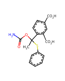 CC(OC(N)=O)(Sc1ccccc1)c1ccc(C(=O)O)cc1C(=O)O